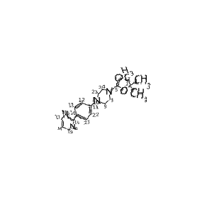 CC(C)(C)OC(=O)N1CCN(c2ccc(-c3ncccn3)cc2)CC1